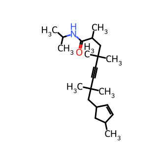 CC1C=CC(CC(C)(C)C#CC(C)(C)CC(C)C(=O)NC(C)C)C1